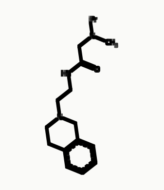 CC(C)N(C)CC(=O)NCCN1CCc2ccccc2C1